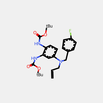 C=CCN(Cc1ccc(F)cc1)c1ccc(NC(=O)OC(C)(C)C)c(NC(=O)OC(C)(C)C)c1